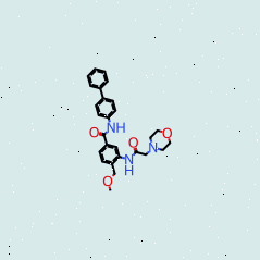 COCc1ccc(C(=O)Nc2ccc(-c3ccccc3)cc2)cc1NC(=O)CN1CCOCC1